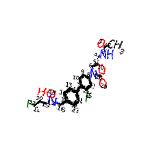 CC(=O)NC[C@H]1CN(c2ccc(-c3ccc(CN(O)CCCF)cc3)c(F)c2)C(=O)O1